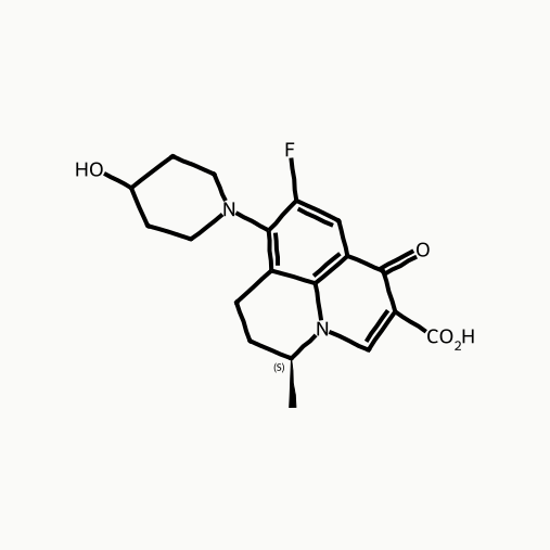 C[C@H]1CCc2c(N3CCC(O)CC3)c(F)cc3c(=O)c(C(=O)O)cn1c23